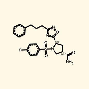 NC(=O)[C@H]1C[C@@H](c2nc(CCCc3ccccc3)no2)N(S(=O)(=O)c2ccc(F)cc2)C1